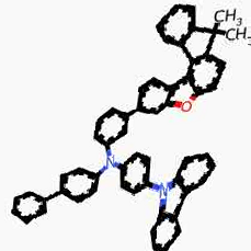 CC1(C)c2ccccc2-c2c1ccc1oc3cc(-c4cccc(N(c5ccc(-c6ccccc6)cc5)c5ccc(-n6c7ccccc7c7ccccc76)cc5)c4)ccc3c21